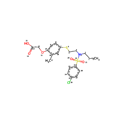 CCCN(CCSc1ccc(OCC(=O)O)c(C)c1)S(=O)(=O)c1ccc(Cl)cc1